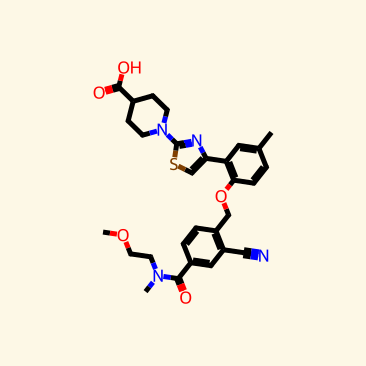 COCCN(C)C(=O)c1ccc(COc2ccc(C)cc2-c2csc(N3CCC(C(=O)O)CC3)n2)c(C#N)c1